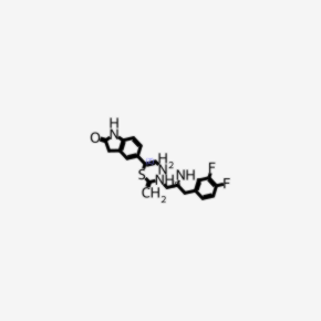 C=C(NC[C@@H](N)Cc1ccc(F)c(F)c1)S/C(=C\N)c1ccc2c(c1)CC(=O)N2